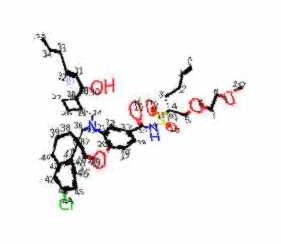 C=CCC[C@H](COCCOC)S(=O)(=O)NC(=O)c1ccc2c(c1)N(C[C@@H]1CC[C@H]1[C@@H](O)/C=C/CCC)C[C@@]1(CCCc3cc(Cl)ccc31)CO2